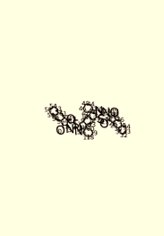 O=c1c(=Nc2nc3c(s2)-c2cc4c(cc2C32CCCCC2)-c2sc(N=c3c(=O)c5cc6ccccc6cc5c3=O)nc2C42CCCCC2)c(=O)c2cc3ccccc3cc12